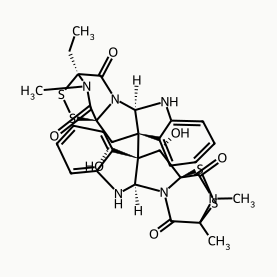 CC[C@@]12SS[C@]3(C(=O)N1C)[C@@H](O)[C@]1([C@@]45c6ccccc6N[C@@H]4N4C(=O)C6(C)SS[C@@]4(C(=O)N6C)[C@H]5O)c4ccccc4N[C@@H]1N3C2=O